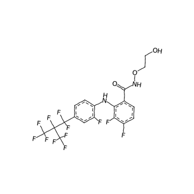 O=C(NOCCO)c1ccc(F)c(F)c1Nc1ccc(C(F)(F)C(F)(C(F)(F)F)C(F)(F)F)cc1F